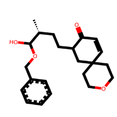 C[C@H](CCC1CC2(C=CC1=O)CCOCC2)C(O)OCc1ccccc1